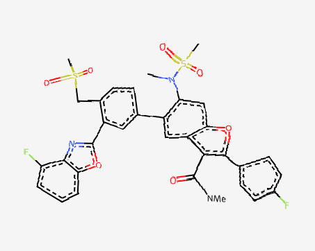 CNC(=O)c1c(-c2ccc(F)cc2)oc2cc(N(C)S(C)(=O)=O)c(-c3ccc(CS(C)(=O)=O)c(-c4nc5c(F)cccc5o4)c3)cc12